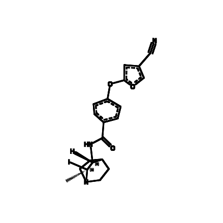 C[C@]1(I)[C@H](NC(=O)c2ccc(Oc3cc(C#N)co3)cc2)C2CCN1CC2